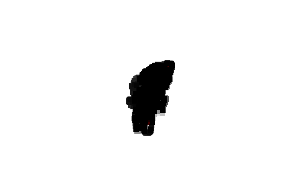 CN[C@@H](C)C(=O)NC(C(=O)N1C[C@@H](NC(=O)c2cc(N=O)cc(C(=O)N[C@H]3C[C@@H](C(=O)N[C@@H]4CCCc5ccccc54)N(C(=O)[C@@H](NC(=O)[C@H](C)NC)C(C)(C)C)C3)c2)CC1C(=O)N[C@@H]1CCCc2ccccc21)C(C)(C)C